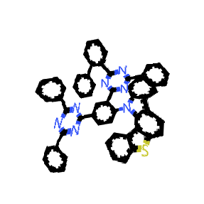 c1ccc(-c2nc(-c3ccccc3)nc(-c3ccc(-n4c5ccccc5c5ccc6sc7ccccc7c6c54)c(-c4nc(-c5ccccc5)nc(-c5ccccc5-c5ccccc5)n4)c3)n2)cc1